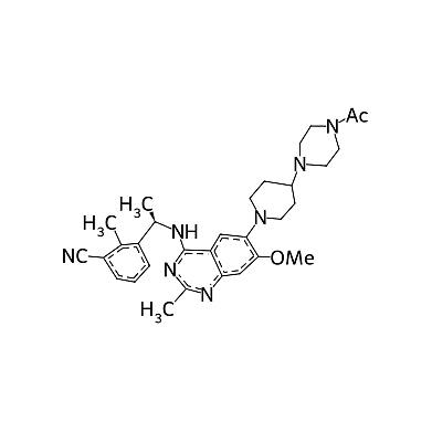 COc1cc2nc(C)nc(N[C@H](C)c3cccc(C#N)c3C)c2cc1N1CCC(N2CCN(C(C)=O)CC2)CC1